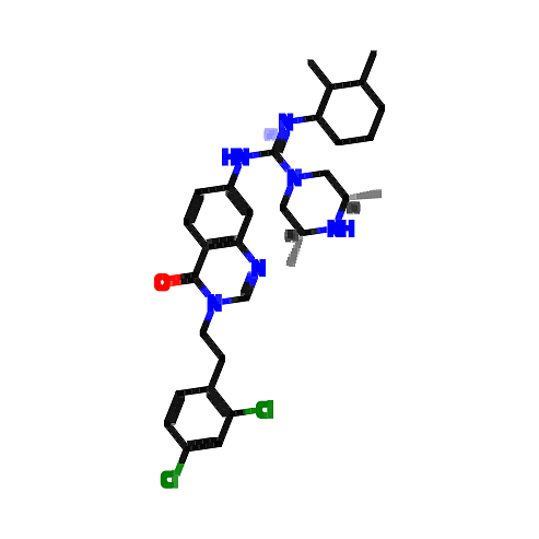 CC1CCCC(/N=C(/Nc2ccc3c(=O)n(CCc4ccc(Cl)cc4Cl)cnc3c2)N2C[C@@H](C)N[C@@H](C)C2)C1C